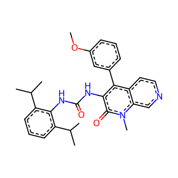 COc1cccc(-c2c(NC(=O)Nc3c(C(C)C)cccc3C(C)C)c(=O)n(C)c3cnccc23)c1